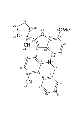 COc1ccc(N(Cc2cccnc2)c2cccc(C#N)c2)c2cc(C3(C)OCCO3)oc12